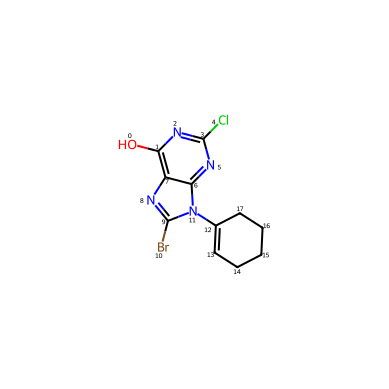 Oc1nc(Cl)nc2c1nc(Br)n2C1=CCCCC1